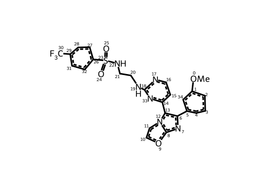 COc1cccc(-c2nc3occn3c2-c2ccnc(NCCNS(=O)(=O)c3ccc(C(F)(F)F)cc3)n2)c1